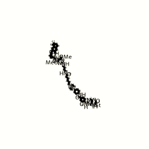 CC[C@@H]1C(=O)N(C)c2cnc(Nc3ccc(C(=O)NC4CCC(N5CCN(CCCCCC(=O)NCCCCNc6nc(OC)c(NC(=O)c7ccc(Oc8cc9c(cc8C)CCC9(C)C)o7)c(OC)n6)CC5)CC4)cc3OC)nc2N1C(C)C